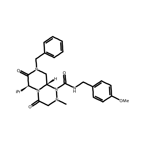 COc1ccc(CNC(=O)N2[C@H]3CN(Cc4ccccc4)C(=O)[C@H](C(C)C)N3C(=O)CN2C)cc1